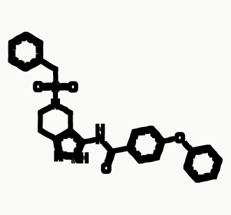 O=C(Nc1[nH]nc2c1CN(S(=O)(=O)Cc1ccccc1)CC2)c1ccc(Oc2ccccc2)cc1